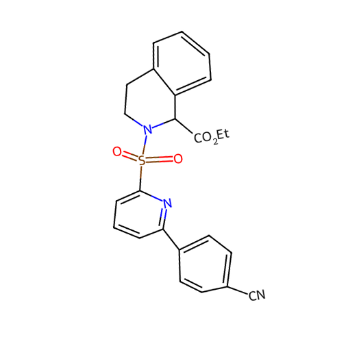 CCOC(=O)C1c2ccccc2CCN1S(=O)(=O)c1cccc(-c2ccc(C#N)cc2)n1